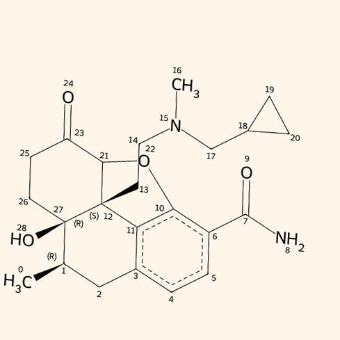 C[C@@H]1Cc2ccc(C(N)=O)c3c2[C@@]2(CCN(C)CC4CC4)C(O3)C(=O)CC[C@@]12O